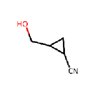 N#CC1CC1CO